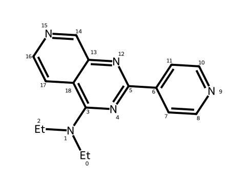 CCN(CC)c1nc(-c2ccncc2)nc2cnccc12